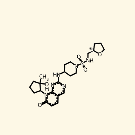 CC1(O)CCCC1n1c(=O)ccc2cnc(NC3CCN(S(=O)(=O)NC[C@H]4CCCO4)CC3)nc21